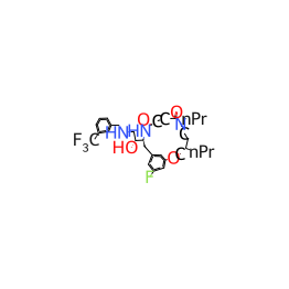 CCCC1CCN(CCC)C(=O)CCC(=O)N[C@H]([C@H](O)CNCc2cccc(C(F)(F)F)c2)Cc2cc(F)cc(c2)OC1